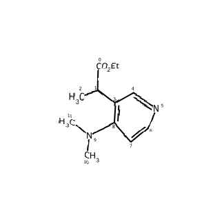 CCOC(=O)C(C)c1cnccc1N(C)C